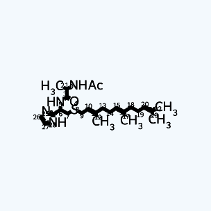 CC(=O)NC(C)C(=O)NC(CSC/C=C(\C)CC/C=C(\C)CCC=C(C)C)c1ncc[nH]1